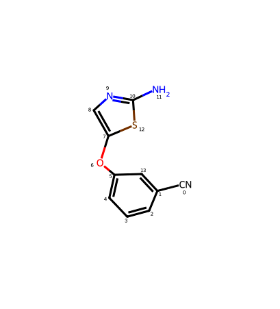 N#Cc1cccc(Oc2cnc(N)s2)c1